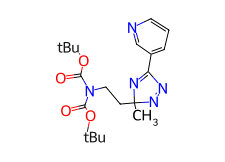 CC1(CCN(C(=O)OC(C)(C)C)C(=O)OC(C)(C)C)N=NC(c2cccnc2)=N1